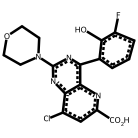 O=C(O)c1cc(Cl)c2nc(N3CCOCC3)nc(-c3cccc(F)c3O)c2n1